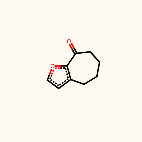 O=C1CCCCc2ccoc21